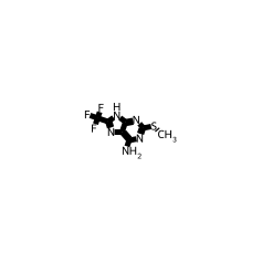 CSc1nc(N)c2nc(C(F)(F)F)[nH]c2n1